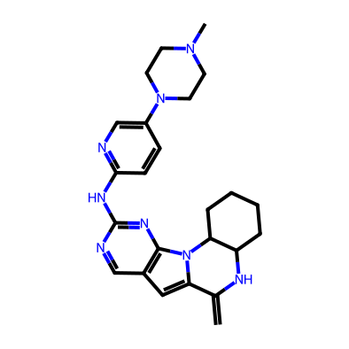 C=C1NC2CCCCC2n2c1cc1cnc(Nc3ccc(N4CCN(C)CC4)cn3)nc12